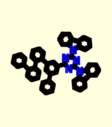 c1ccc(-c2cc(-c3nc(-n4c5ccccc5c5ccccc54)nc(-n4c5ccccc5c5ccccc54)n3)cc(-c3ccccc3-c3ccccc3-c3ccccc3)c2)cc1